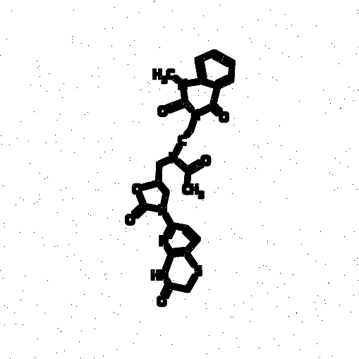 CC(=O)N(CCn1c(=O)c2ccccc2n(C)c1=O)CC1CN(c2ccc3c(n2)NC(=O)CS3)C(=O)O1